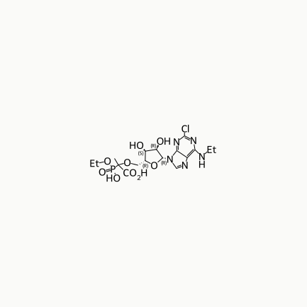 CCNc1nc(Cl)nc2c1ncn2[C@@H]1O[C@H](COC(C)(C(=O)O)P(=O)(O)OCC)[C@@H](O)[C@H]1O